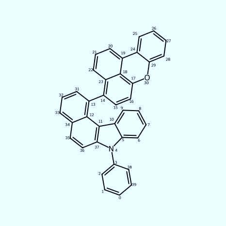 c1ccc(-n2c3ccccc3c3c4c(-c5ccc6c7c(cccc57)-c5ccccc5O6)cccc4ccc32)cc1